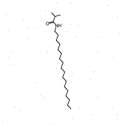 CCCCCCCCCCCCCCCCCCNC(=O)C(C)C